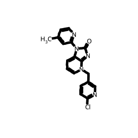 Cc1ccnc(-n2c3cccn(Cc4ccc(Cl)nc4)c-3nc2=O)c1